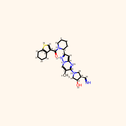 Cc1cn2nc([C@@H]3CCCCN3C(=O)c3csc4c3CCCC4)cc2nc1N1C[C@@H](C=N)[C@@H](O)C1